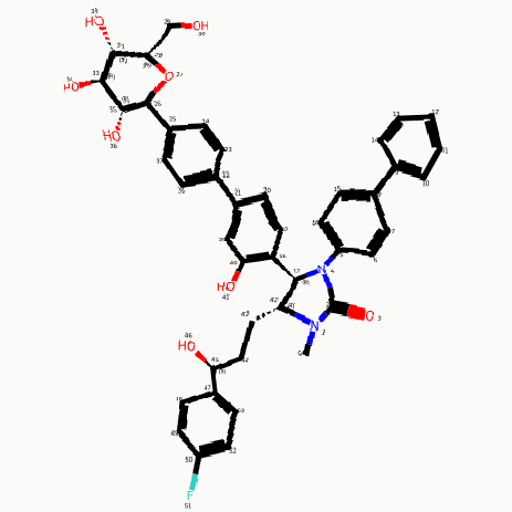 CN1C(=O)N(c2ccc(-c3ccccc3)cc2)[C@H](c2ccc(-c3ccc(C4O[C@H](CO)[C@@H](O)[C@H](O)[C@H]4O)cc3)cc2O)[C@H]1CC[C@H](O)c1ccc(F)cc1